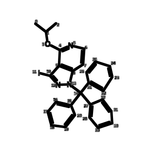 CC(C)Oc1nccc2c1c(I)nn2C(c1ccccc1)(c1ccccc1)c1ccccc1